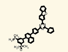 CP(C)C1=CC(c2ccc(-c3ccc(-c4nc(-c5ccccc5)nc(-c5ccc6c(c5)oc5ccccc56)n4)cc3)c3ccccc23)CC(P(C)(C)=O)=C1